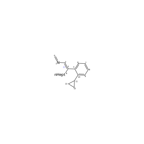 C=N/C=C(\CCCCCCC)c1ccccc1C1CC1